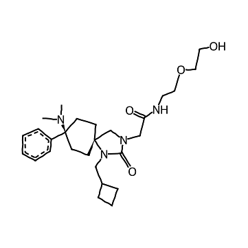 CN(C)[C@]1(c2ccccc2)CC[C@@]2(CC1)CN(CC(=O)NCCOCCO)C(=O)N2CC1CCC1